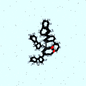 C1=CCCC(c2ccc(-c3ccc4ccccc4c3)cc2N(c2cccc(-c3ccc4oc5ccccc5c4c3)c2)c2ccc3sc4ccccc4c3c2)=C1